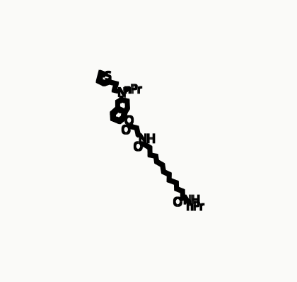 CCCNC(=O)CCCCCCCCCCCC(=O)NCCC(=O)Oc1cccc2c1CC[C@H](N(CCC)CCc1cccs1)C2